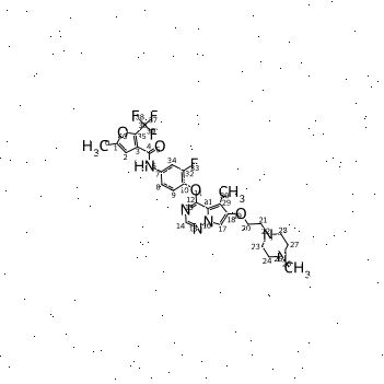 Cc1cc(C(=O)Nc2ccc(Oc3ncnn4cc(OCCN5CCN(C)CC5)c(C)c34)c(F)c2)c(C(F)(F)F)o1